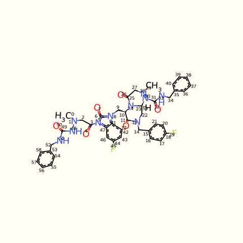 CN(CC(=O)n1c(=O)n(C[C@@H]2C(=O)N(Cc3ccc(F)cc3)C[C@H]3N2C(=O)CN(C)N3C(=O)NCc2ccccc2)c2ccc(F)cc21)NC(=O)NCc1ccccc1